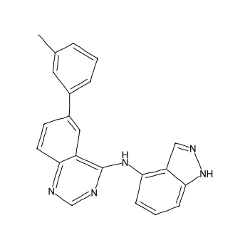 Cc1cccc(-c2ccc3ncnc(Nc4cccc5[nH]ncc45)c3c2)c1